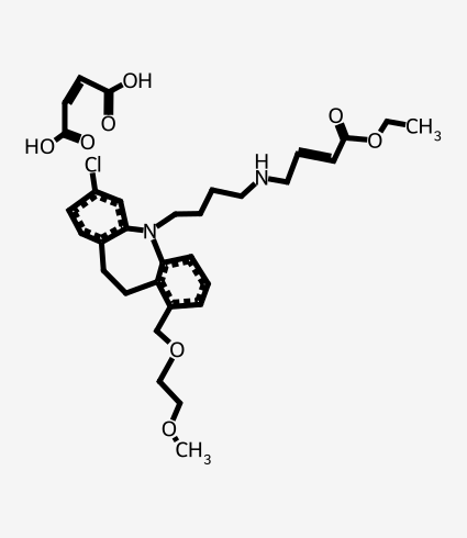 CCOC(=O)/C=C/CNCCCCN1c2cc(Cl)ccc2CCc2c(COCCOC)cccc21.O=C(O)/C=C\C(=O)O